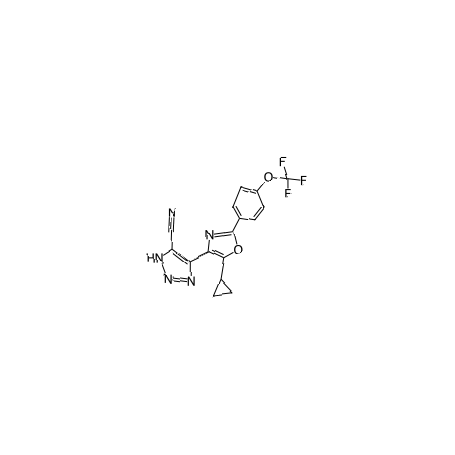 N#Cc1[nH]nnc1-c1nc(-c2ccc(OC(F)(F)F)cc2)oc1C1CC1